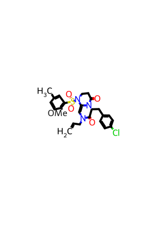 C=CCN1C=C2N(C(=O)CCN2S(=O)(=O)c2cc(C)ccc2OC)C(Cc2ccc(Cl)cc2)C1=O